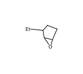 [CH2]CC1CCC2OC12